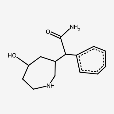 NC(=O)C(c1ccccc1)C1CNCCC(O)C1